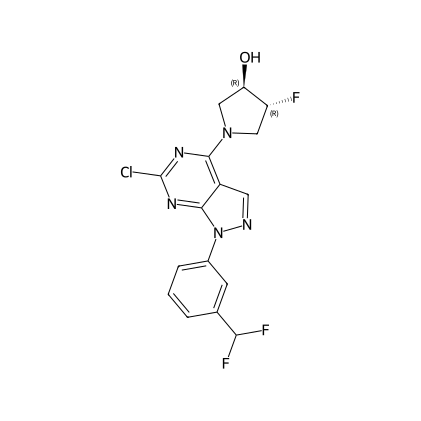 O[C@@H]1CN(c2nc(Cl)nc3c2cnn3-c2cccc(C(F)F)c2)C[C@H]1F